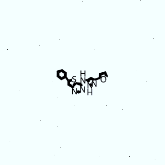 c1ccc(-c2cc3ncnc(Nc4cc(-c5ccco5)n[nH]4)c3s2)cc1